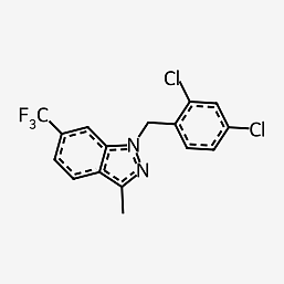 Cc1nn(Cc2ccc(Cl)cc2Cl)c2cc(C(F)(F)F)ccc12